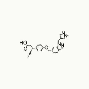 CC#CC(CC(=O)O)c1ccc(OCc2ccc3cnn(Cc4cnn(C)c4)c3c2)cc1